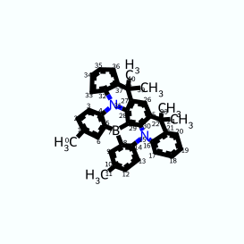 Cc1ccc2c(c1)B1c3cc(C)ccc3N3c4ccccc4C(C)(C)c4cc5c(c1c43)N2c1ccccc1C5(C)C